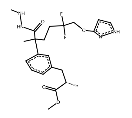 CNNC(=O)C(C)(CCC(F)(F)COc1cc[nH]n1)c1cccc(C[C@H](C)C(=O)OC)c1